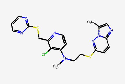 CN(CCSc1ccc2ncc([N+](=O)[O-])n2n1)c1ccnc(CSc2ncccn2)c1Cl